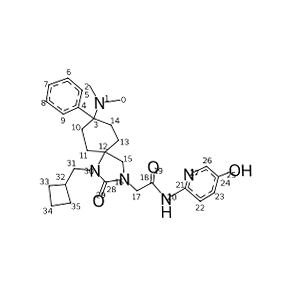 CN(C)C1(c2ccccc2)CCC2(CC1)CN(CC(=O)Nc1ccc(O)cn1)C(=O)N2CC1CCC1